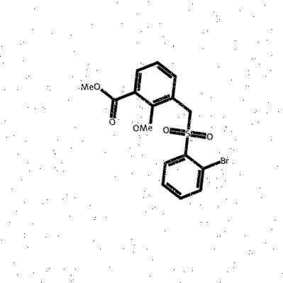 COC(=O)c1cccc(CS(=O)(=O)c2ccccc2Br)c1OC